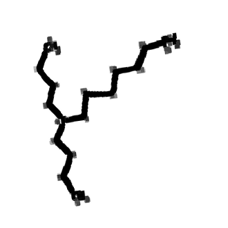 CCCCP(CCCC)CCCCCCP